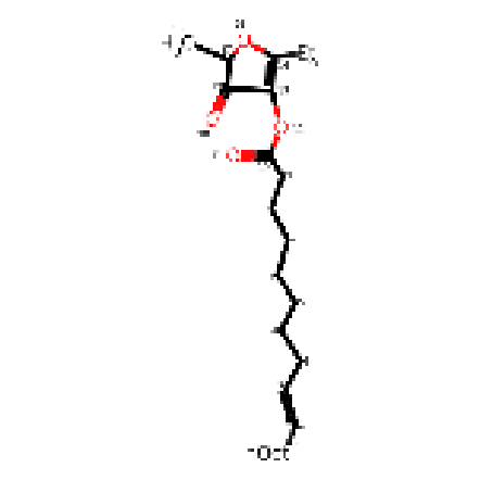 CCCCCCCCC=CCCCCCCCC(=O)OC1=C(CC)OC(C)C1=O